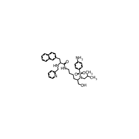 CC(C)CN(C(CO)CCCCNC(=O)C(Cc1ccc2ccccc2c1)NCc1ccccn1)S(=O)(=O)c1ccc(N)cc1